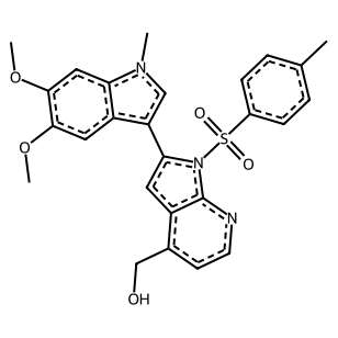 COc1cc2c(-c3cc4c(CO)ccnc4n3S(=O)(=O)c3ccc(C)cc3)cn(C)c2cc1OC